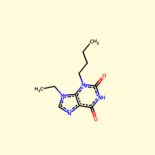 CCCCn1c(=O)[nH]c(=O)c2ncn(CC)c21